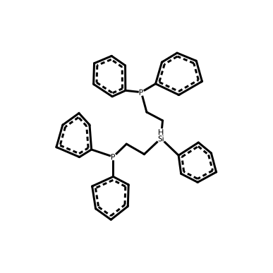 c1ccc([SiH](CCP(c2ccccc2)c2ccccc2)CCP(c2ccccc2)c2ccccc2)cc1